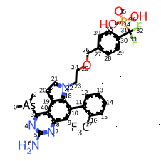 C[As](C)c1nc(N)nc2cc(-c3ccccc3C(F)(F)F)c3c(ccn3CCOCc3ccc(C(F)(F)P(=O)(O)O)cc3)c12